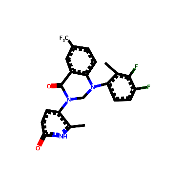 Cc1[nH]c(=O)ccc1N1CN(c2ccc(F)c(F)c2C)c2ccc(C(F)(F)F)cc2C1=O